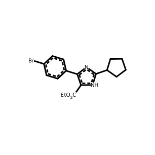 CCOC(=O)c1[nH]c(C2CCCC2)nc1-c1ccc(Br)cc1